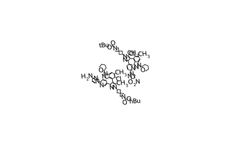 CCCCOC(=O)N1CC2(CC(n3nc(-c4ccc(-n5ccc(N)n5)nc4)c(-c4c(Cl)c(C)cc5c4cnn5C4CCCCO4)c3C)C2)C1.Cc1cc2c(cnn2C2CCCCO2)c(-c2c(-c3ccc(-n4ccc([N+](=O)[O-])n4)nc3)nn(C3CC4(C3)CN(C(=O)OC(C)(C)C)C4)c2C)c1Cl